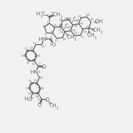 C=C(C)[C@@H]1CC[C@]2(C(=O)NCCc3cccc(C(=O)NCc4ccc(O)c(C(=O)OC)c4)c3)CC[C@]3(C)C(CCC4[C@@]5(C)CC[C@H](O)C(C)(C)C5CC[C@]43C)C12